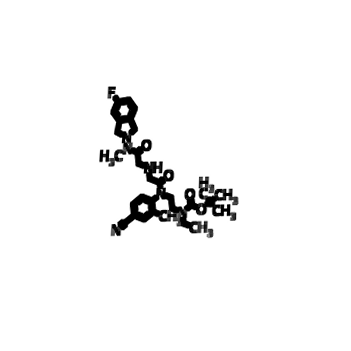 CCN(CCN(C(=O)CNCC(=O)N(C)N1Cc2ccc(F)cc2C1)c1ccc(C#N)cc1C)C(=O)OC(C)(C)C